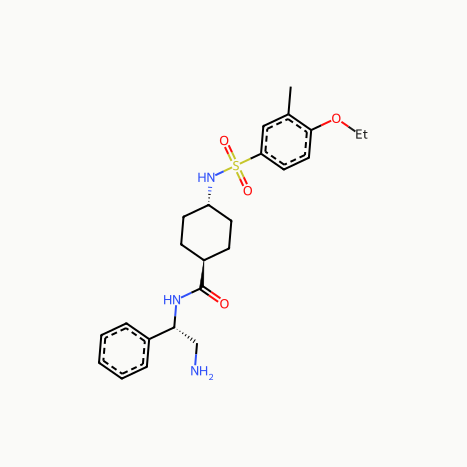 CCOc1ccc(S(=O)(=O)N[C@H]2CC[C@H](C(=O)N[C@H](CN)c3ccccc3)CC2)cc1C